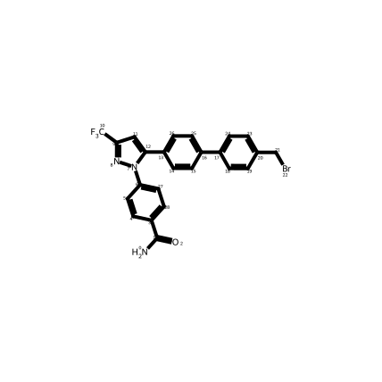 NC(=O)c1ccc(-n2nc(C(F)(F)F)cc2-c2ccc(-c3ccc(CBr)cc3)cc2)cc1